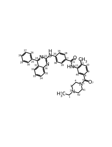 CCN1CCN(C(=O)c2ccc(C)c(NC(=O)c3ccc(Nc4nc(-c5ccccc5)c5ccccc5n4)cc3)c2)CC1